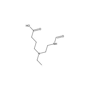 CCN(CCCC(=O)O)CCNC=O